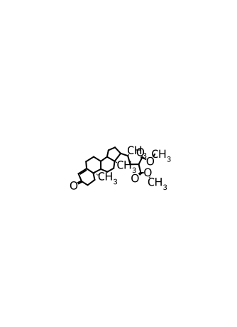 COC(=O)C(C[C@@H](C)C1CCC2C3CCC4=CC(=O)CC[C@]4(C)C3CC[C@@]21C)C(=O)OC